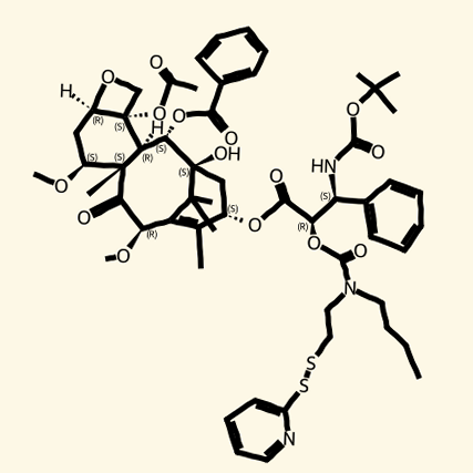 CCCCN(CCSSc1ccccn1)C(=O)O[C@@H](C(=O)O[C@H]1C[C@@]2(O)[C@@H](OC(=O)c3ccccc3)[C@@H]3[C@]4(OC(C)=O)CO[C@@H]4C[C@H](OC)[C@@]3(C)C(=O)[C@H](OC)C(=C1C)C2(C)C)[C@@H](NC(=O)OC(C)(C)C)c1ccccc1